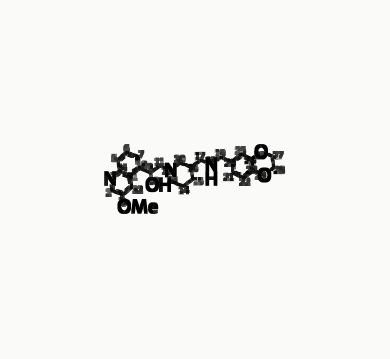 COc1cnc2cccc(C(O)CN3CCCC(CNCc4ccc5c(c4)OCCO5)C3)c2c1